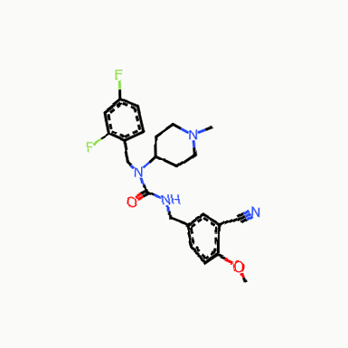 COc1ccc(CNC(=O)N(Cc2ccc(F)cc2F)C2CCN(C)CC2)cc1C#N